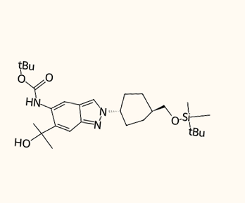 CC(C)(C)OC(=O)Nc1cc2cn([C@H]3CC[C@H](CO[Si](C)(C)C(C)(C)C)CC3)nc2cc1C(C)(C)O